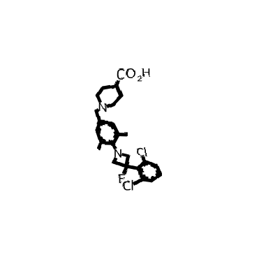 Cc1cc(CN2CCC(C(=O)O)CC2)cc(C)c1N1CC(F)(c2c(Cl)cccc2Cl)C1